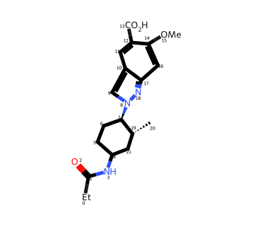 CCC(=O)NC1CC[C@@H](n2cc3cc(C(=O)O)c(OC)cc3n2)[C@H](C)C1